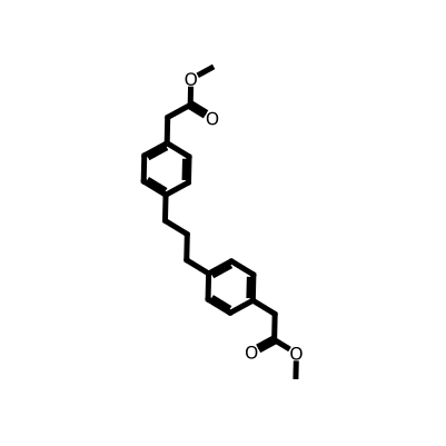 COC(=O)Cc1ccc(CCCc2ccc(CC(=O)OC)cc2)cc1